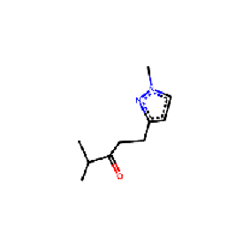 CC(C)C(=O)CCc1ccn(C)n1